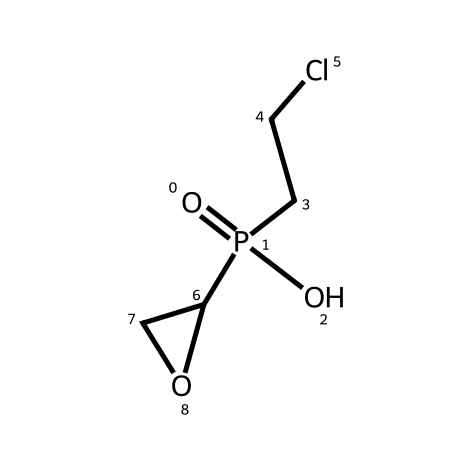 O=P(O)(CCCl)C1CO1